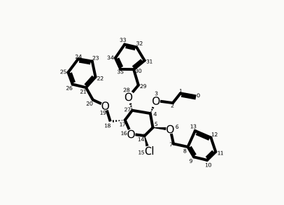 C=CCO[C@@H]1[C@@H](OCc2ccccc2)[C@@H](Cl)O[C@H](COCc2ccccc2)[C@@H]1OCc1ccccc1